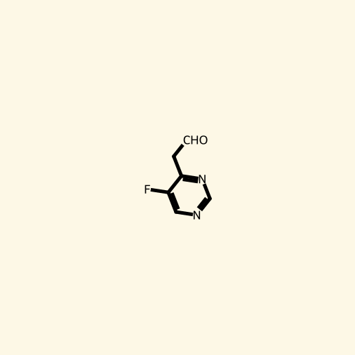 O=CCc1ncncc1F